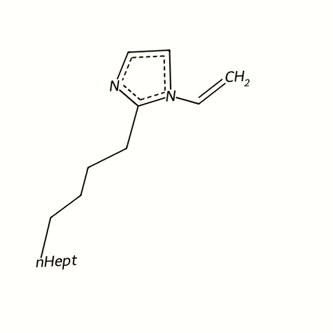 C=Cn1ccnc1CCCCCCCCCCC